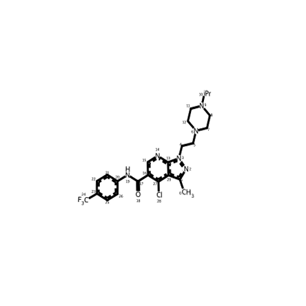 Cc1nn(CCN2CCN(C(C)C)CC2)c2ncc(C(=O)Nc3ccc(C(F)(F)F)cc3)c(Cl)c12